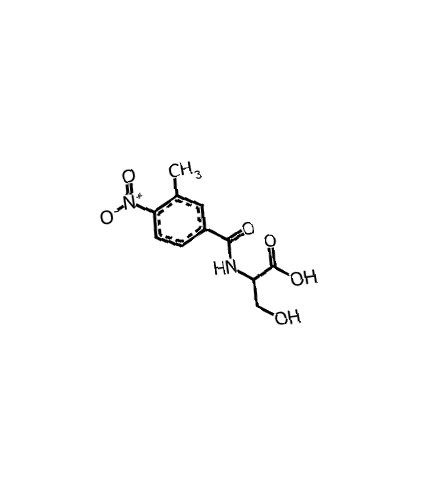 Cc1cc(C(=O)NC(CO)C(=O)O)ccc1[N+](=O)[O-]